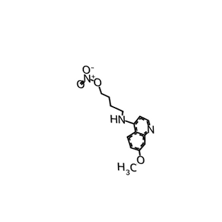 COc1ccc2c(NCCCCO[N+](=O)[O-])ccnc2c1